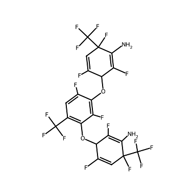 NC1=C(F)C(Oc2c(F)cc(C(F)(F)F)c(OC3C(F)=CC(F)(C(F)(F)F)C(N)=C3F)c2F)C(F)=CC1(F)C(F)(F)F